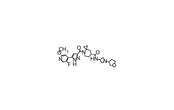 COc1cc(-c2cc(C(=O)N3CC[C@H](C(=O)NC4CN([C@H]5CCOC5)C4)CC34CC4)n[nH]2)c(F)cn1